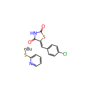 CCCCSc1ccccn1.O=C1NC(=O)C(=Cc2ccc(Cl)cc2)S1